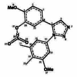 COc1ccc(-c2cnnn2-c2cc(C)c(C)c(OC)c2)cc1O[SH](=O)=O